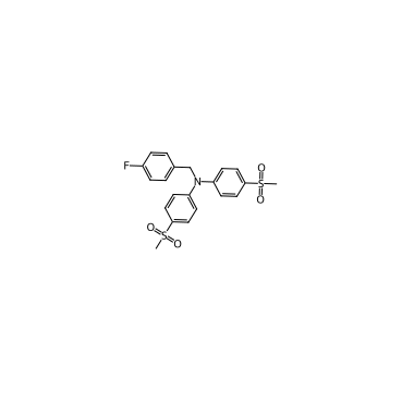 CS(=O)(=O)c1ccc(N(Cc2ccc(F)cc2)c2ccc(S(C)(=O)=O)cc2)cc1